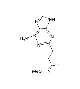 CO/N=C(/C)CCc1nc(N)c2nc[nH]c2n1